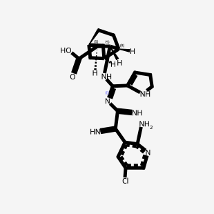 N=C(/N=C(/N[C@H]1[C@@H]2CC[C@]3(C[C@H]2C3)[C@@H]1C(=O)O)C1=CCCN1)C(=N)c1cc(Cl)cnc1N